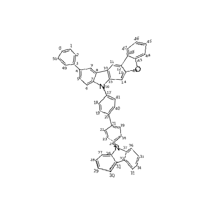 c1ccc(-c2ccc3c(c2)c2cc4c(cc2n3-c2ccc(-c3ccc(-n5c6ccccc6c6ccccc65)cc3)cc2)oc2ccccc24)cc1